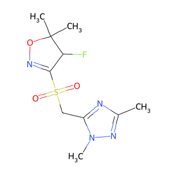 Cc1nc(CS(=O)(=O)C2=NOC(C)(C)C2F)n(C)n1